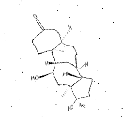 CC(=O)[C@@]1(O)CC[C@H]2[C@@H]3CC[C@@H]4CC(=O)CC[C@]4(C)[C@H]3[C@H](O)C[C@@]21C